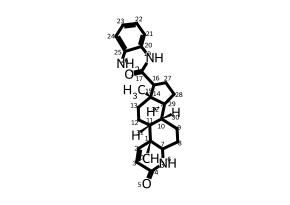 C[C@]12C=CC(=O)NC1CC[C@@H]1[C@H]2CC[C@]2(C)C(C(=O)Nc3ccccc3N)CC[C@@H]12